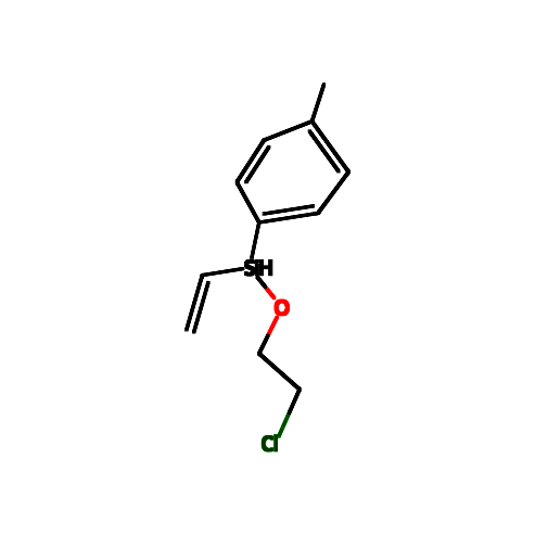 C=C[SiH](OCCCl)c1ccc(C)cc1